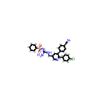 N#Cc1ccc(-c2cc(CN/C(N)=N/S(=O)(=O)c3ccccc3)cnc2-c2ccc(Cl)cc2)cc1